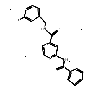 O=C(NCc1cccc(F)c1)c1ccnc(NC(=O)c2ccccc2)c1